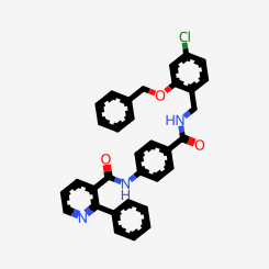 O=C(NCc1ccc(Cl)cc1OCc1ccccc1)c1ccc(NC(=O)c2cccnc2-c2ccccc2)cc1